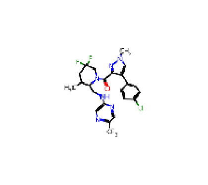 CC1CC(F)(F)CN(C(=O)c2nn(C)cc2-c2ccc(Cl)cc2)C1CNc1cnc(C(F)(F)F)cn1